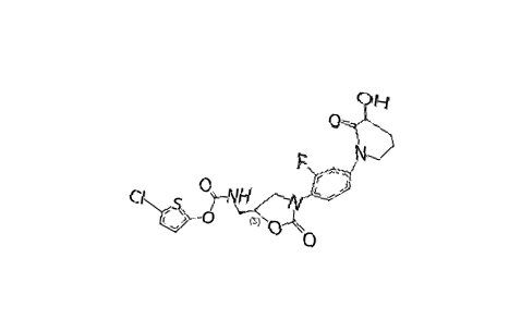 O=C(NC[C@H]1CN(c2ccc(N3CCCC(O)C3=O)cc2F)C(=O)O1)Oc1ccc(Cl)s1